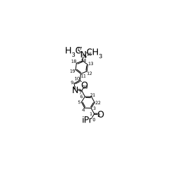 CC(C)C(=O)c1ccc(-c2ncc(-c3ccc(N(C)C)cc3)o2)cc1